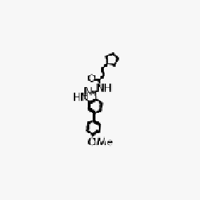 COc1ccc(-c2ccc3c(NC(=O)CCC4CCCC4)n[nH]c3c2)cc1